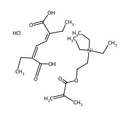 C=C(C)C(=O)OCC[N+](CC)(CC)CC.CCC(=CC=C(CC)C(=O)O)C(=O)O.Cl